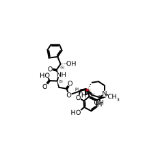 CN1CCC[C@]23c4c5ccc(O)c4O[C@H]2C(OC(=O)C[C@H](NC(=O)[C@@H](O)c2ccccc2)C(=O)O)=CC[C@@]3(O)[C@H]1C5